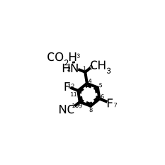 CC(NC(=O)O)c1cc(F)cc(C#N)c1F